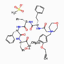 C#CCOc1cc(C[N+]2(CC(=O)N[C@@H](CCc3ccccc3)C(=O)N[C@@H](CC(C)C)C(=O)N[C@@H](Cc3ccccc3)C(=O)N[C@@H](CC(C)C)C(=O)[C@@]3(C)CO3)CCOCC2)ccc1OC(C)=O.CS(=O)(=O)[O-]